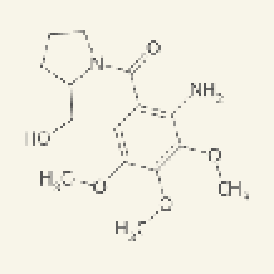 COc1cc(C(=O)N2CCCC2CO)c(N)c(OC)c1OC